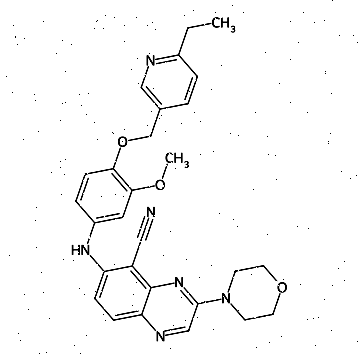 CCc1ccc(COc2ccc(Nc3ccc4ncc(N5CCOCC5)nc4c3C#N)cc2OC)cn1